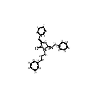 O=C1/C(=C/c2ccccc2)S/C(=N\Cc2ccccc2)N1CCCc1ccccc1